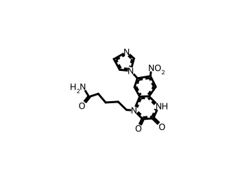 NC(=O)CCCCn1c(=O)c(=O)[nH]c2cc([N+](=O)[O-])c(-n3ccnc3)cc21